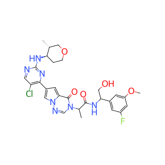 COc1cc(F)cc(C(CO)NC(=O)C(C)n2cnn3cc(-c4nc(N[C@@H]5CCOC[C@H]5C)ncc4Cl)cc3c2=O)c1